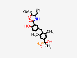 COC(=O)C(CC(C)C)NC(=O)c1cc(Cc2c(C)cc(C(C)(O)[PH2]=O)cc2C)ccc1O